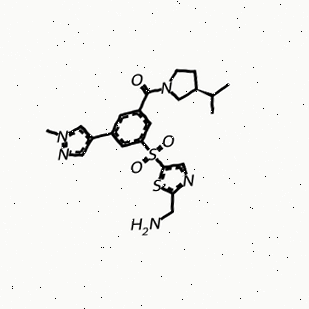 CC(C)[C@@H]1CCN(C(=O)c2cc(-c3cnn(C)c3)cc(S(=O)(=O)c3cnc(CN)s3)c2)C1